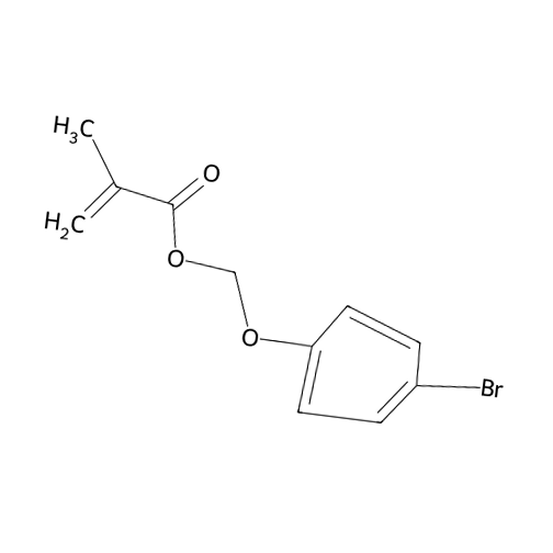 C=C(C)C(=O)OCOc1ccc(Br)cc1